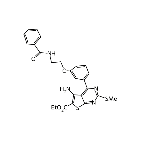 CCOC(=O)c1sc2nc(SC)nc(-c3cccc(OCCNC(=O)c4ccccc4)c3)c2c1N